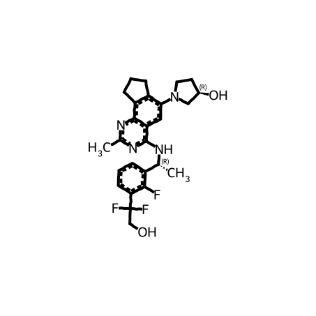 Cc1nc(N[C@H](C)c2cccc(C(F)(F)CO)c2F)c2cc(N3CC[C@@H](O)C3)c3c(c2n1)CCC3